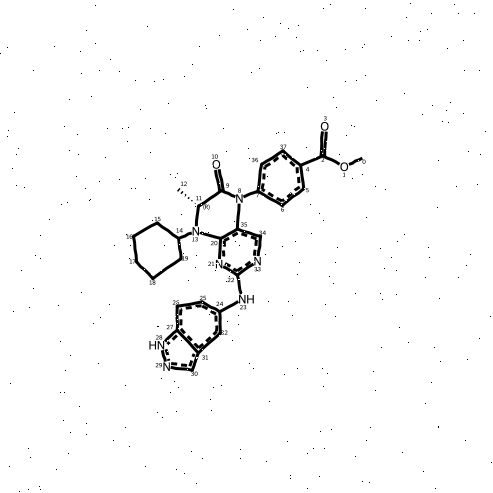 COC(=O)c1ccc(N2C(=O)[C@@H](C)N(C3CCCCC3)c3nc(Nc4ccc5[nH]ncc5c4)ncc32)cc1